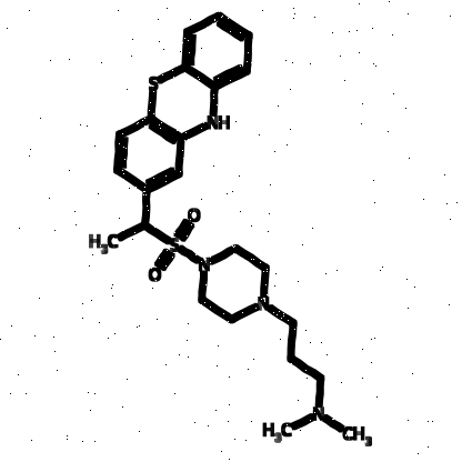 CC(c1ccc2c(c1)Nc1ccccc1S2)S(=O)(=O)N1CCN(CCCN(C)C)CC1